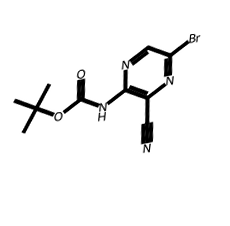 CC(C)(C)OC(=O)Nc1ncc(Br)nc1C#N